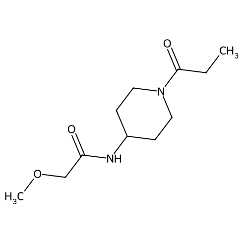 CCC(=O)N1CCC(NC(=O)COC)CC1